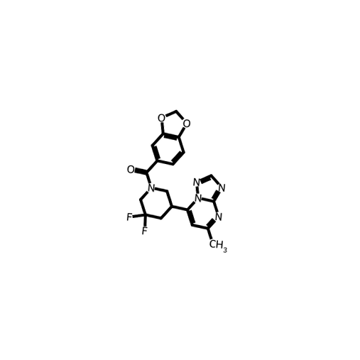 Cc1cc(C2CN(C(=O)c3ccc4c(c3)OCO4)CC(F)(F)C2)n2ncnc2n1